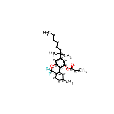 CCCCCCC(C)(C)c1cc(OC(=O)CC)c2c(c1)OC(F)(F)C1CCC(C)CC21